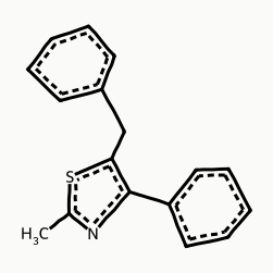 Cc1nc(-c2ccccc2)c(Cc2ccccc2)s1